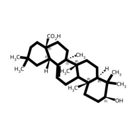 CC1(C)CC[C@]2(C(=O)O)CC[C@]3(C)C(=CCC4[C@@]5(C)CC[C@H](O)C(C)(C)[C@@H]5CC[C@]43C)[C@@H]2C1